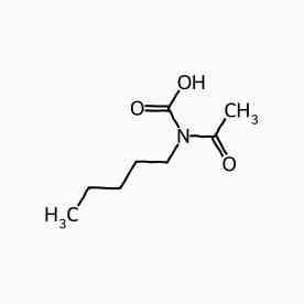 CCCCCN(C(C)=O)C(=O)O